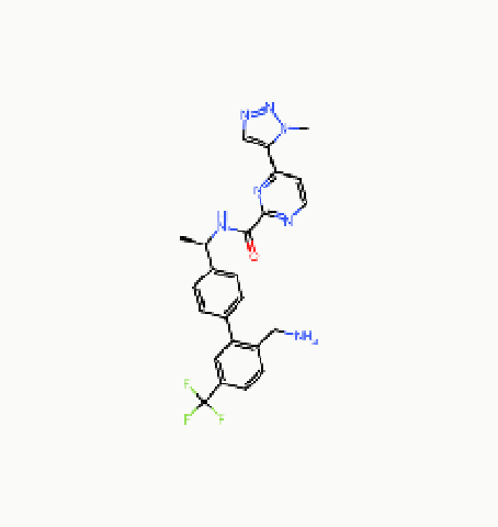 C[C@@H](NC(=O)c1nccc(-c2cnnn2C)n1)c1ccc(-c2cc(C(F)(F)F)ccc2CN)cc1